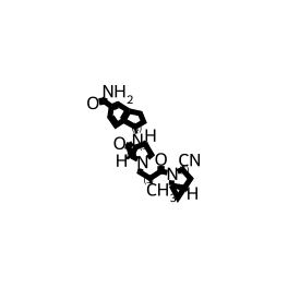 C[C@@H](CN1C[C@@H]2C[C@H]1C(=O)N2[C@@H]1CCc2cc(C(N)=O)ccc21)C(=O)N1C2C[C@H]2C[C@H]1C#N